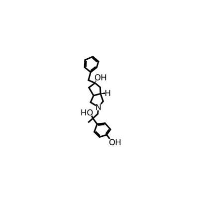 CC(O)(CN1CC2C[C@@](O)(Cc3ccccc3)C[C@@H]2C1)c1ccc(O)cc1